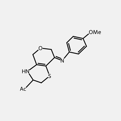 COc1ccc(/N=C2\COCC3=C2SCC(C(C)=O)N3)cc1